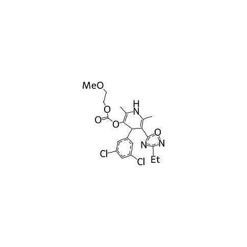 CCc1noc(C2=C(C)NC(C)=C(OC(=O)OCCOC)C2c2cc(Cl)cc(Cl)c2)n1